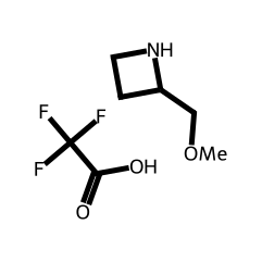 COCC1CCN1.O=C(O)C(F)(F)F